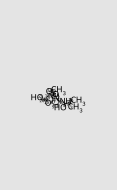 CC[C@H](C)C(O)Nc1ccc2c(n1)N(S(C)(=O)=O)C[C@H](CO)O2